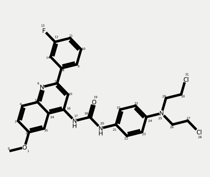 COc1ccc2nc(-c3cccc(F)c3)cc(NC(=O)Nc3ccc(N(CCCl)CCCl)cc3)c2c1